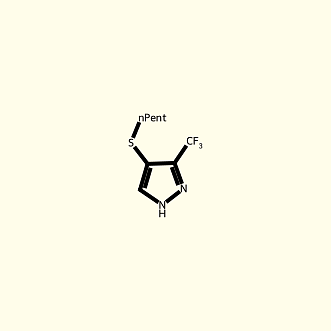 CCCCCSc1c[nH]nc1C(F)(F)F